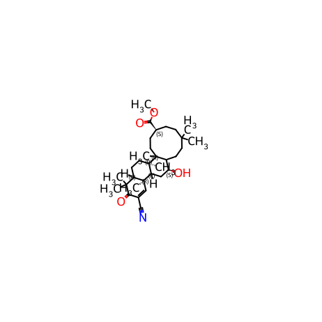 COC(=O)[C@H]1CCC(C)(C)CCC2[C@@H](O)C[C@@H]3[C@@]4(C)C=C(C#N)C(=O)C(C)(C)[C@@H]4CC[C@@]3(C)[C@]2(C)CC1